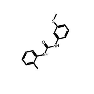 CSc1cccc(NC(=O)Nc2ccccc2C)c1